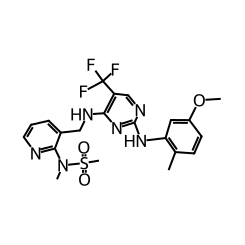 COc1ccc(C)c(Nc2ncc(C(F)(F)F)c(NCc3cccnc3N(C)S(C)(=O)=O)n2)c1